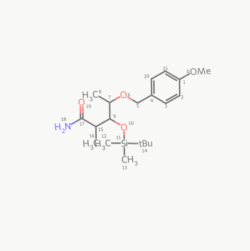 COc1ccc(COC(C)C(O[Si](C)(C)C(C)(C)C)C(C)C(N)=O)cc1